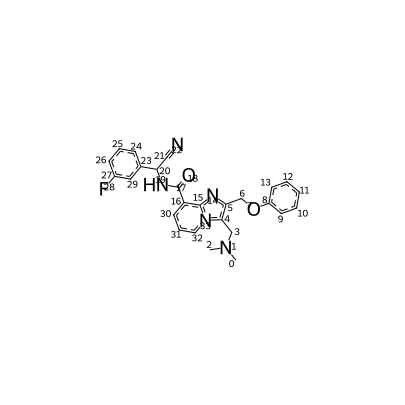 CN(C)Cc1c(COc2ccccc2)nc2c(C(=O)NC(C#N)c3cccc(F)c3)cccn12